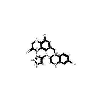 O=C1COc2c(Cl)cc(CN3c4ccc(F)cc4OC[C@@H]3Cc3c[nH]nn3)cc2N1